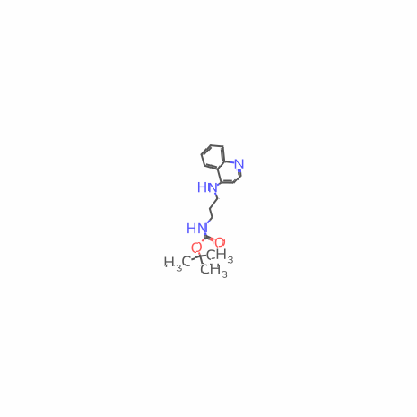 CC(C)(C)OC(=O)NCCCNc1ccnc2ccccc12